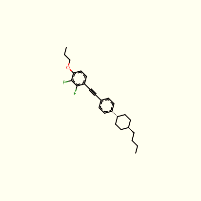 CCCC[C@H]1CC[C@H](c2ccc(C#Cc3ccc(OCCC)c(F)c3F)cc2)CC1